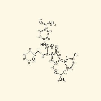 C[C@@H]1Cc2ccc(Cl)cc2-c2cc(=O)n([C@@H](CC[C@@H]3CCCCO3)C(=O)Nc3ccc(C(N)=O)cc3)cc2CO1